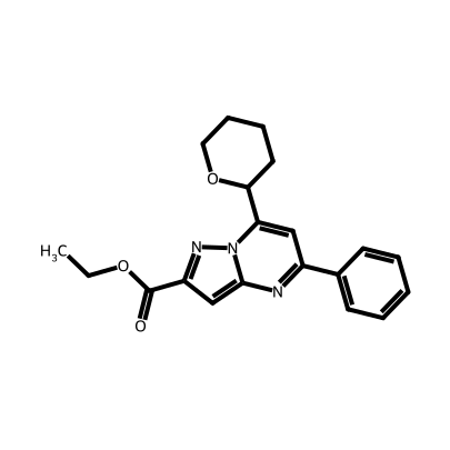 CCOC(=O)c1cc2nc(-c3ccccc3)cc(C3CCCCO3)n2n1